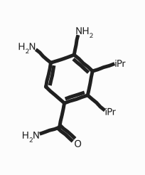 CC(C)c1c(C(N)=O)cc(N)c(N)c1C(C)C